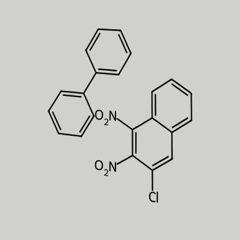 O=[N+]([O-])c1c(Cl)cc2ccccc2c1[N+](=O)[O-].c1ccc(-c2ccccc2)cc1